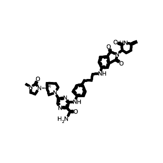 C=C1CCC(N2C(=O)c3ccc(NCCCc4ccc(Nc5nc(N6CCC[C@@H](N7CCN(C)C7=O)C6)cnc5C(N)=O)cc4)cc3C2=O)C(=O)N1